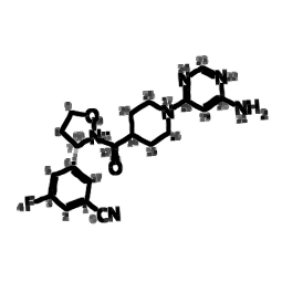 N#Cc1cc(F)cc([C@@H]2CCON2C(=O)C2CCN(c3cc(N)ncn3)CC2)c1